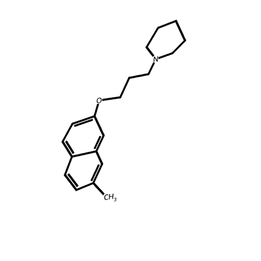 Cc1ccc2ccc(OCCCN3CCCCC3)cc2c1